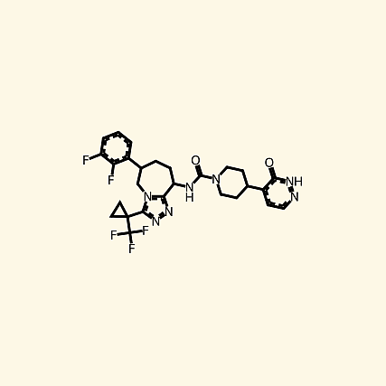 O=C(NC1CCC(c2cccc(F)c2F)Cn2c1nnc2C1(C(F)(F)F)CC1)N1CCC(c2ccn[nH]c2=O)CC1